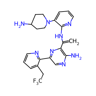 C=C(Nc1ncccc1N1CCC(N)CC1)c1nc(-c2ncccc2CC(F)(F)F)cnc1N